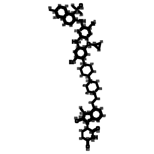 CCc1cc(Nc2ncc(Br)c(Nc3ccc4nc(C)ccc4c3P(C)(C)=O)n2)c(OC2CC2)cc1N1CCC(N2CCN(CCc3cccc4c3n(C)c(=O)n4C3CCC(=O)NC3=O)CC2)CC1